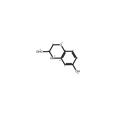 O=CC1COc2ccc(O)cc2N1